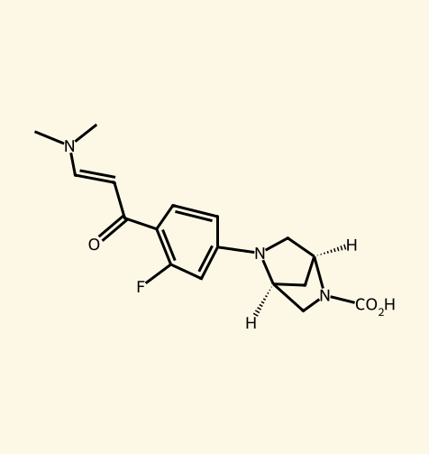 CN(C)C=CC(=O)c1ccc(N2C[C@@H]3C[C@H]2CN3C(=O)O)cc1F